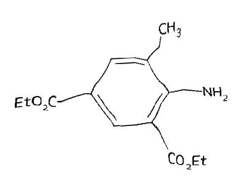 CCOC(=O)c1cc(C)c(N)c(C(=O)OCC)c1